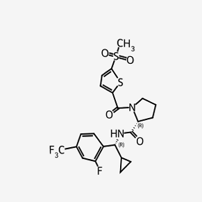 CS(=O)(=O)c1ccc(C(=O)N2CCC[C@@H]2C(=O)N[C@@H](c2ccc(C(F)(F)F)cc2F)C2CC2)s1